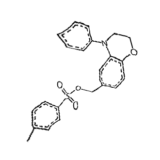 Cc1ccc(S(=O)(=O)OCc2ccc3c(c2)N(c2ccccc2)CCO3)cc1